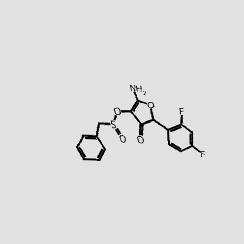 NC1=C(OS(=O)Cc2ccccc2)C(=O)C(c2ccc(F)cc2F)O1